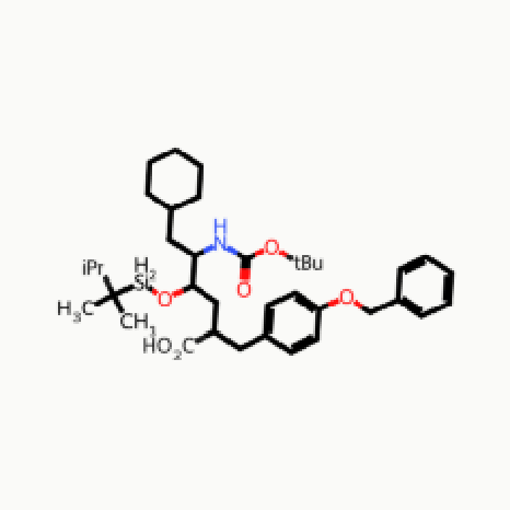 CC(C)C(C)(C)[SiH2]OC(CC(Cc1ccc(OCc2ccccc2)cc1)C(=O)O)C(CC1CCCCC1)NC(=O)OC(C)(C)C